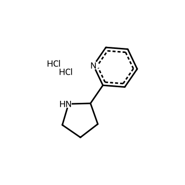 Cl.Cl.c1ccc(C2CCCN2)nc1